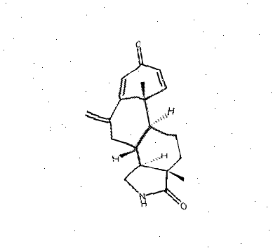 C=C1C[C@@H]2[C@H](CC[C@]3(C)C(=O)NC[C@@H]23)[C@@]2(C)C=CC(=O)C=C12